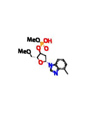 COC[C@H]1O[C@@H](n2cnc3c(C)cccc32)C[C@@H]1OP(=O)(O)OC